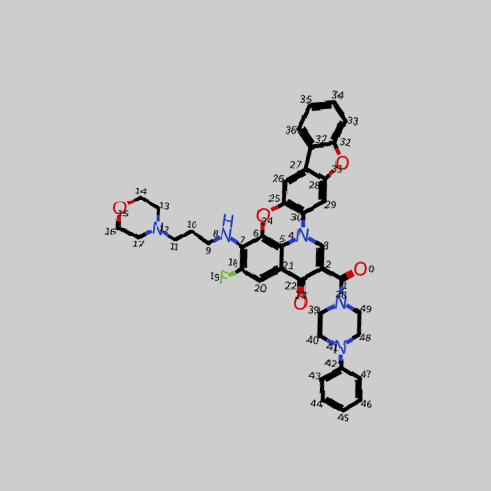 O=C(c1cn2c3c(c(NCCCN4CCOCC4)c(F)cc3c1=O)Oc1cc3c(cc1-2)oc1ccccc13)N1CCN(c2ccccc2)CC1